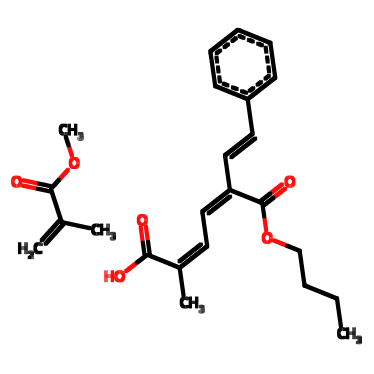 C=C(C)C(=O)OC.CCCCOC(=O)C(C=Cc1ccccc1)=CC=C(C)C(=O)O